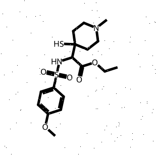 CCOC(=O)C(NS(=O)(=O)c1ccc(OC)cc1)C1(S)CCN(C)CC1